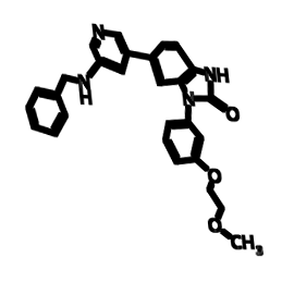 COCCOc1cccc(-n2c(=O)[nH]c3ccc(-c4cncc(NCc5ccccc5)c4)cc32)c1